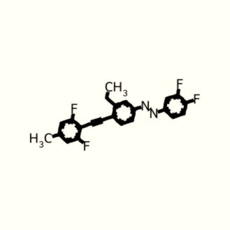 CCc1cc(N=Nc2ccc(F)c(F)c2)ccc1C#Cc1c(F)cc(C)cc1F